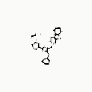 O=C(O)C=CC(=O)O.c1ccc(Cc2nc(C3CCCCC3)oc2CN2CCc3c([nH]c4ccccc34)C2)cc1